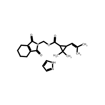 CC(C)=CC1C(C(=O)OCN2C(=O)C3=C(CCCC3)C2=O)C1(C)C.c1cn[nH]c1